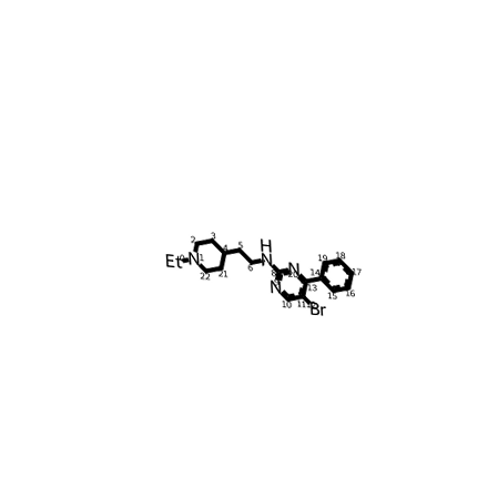 CCN1CCC(CCNc2ncc(Br)c(-c3ccccc3)n2)CC1